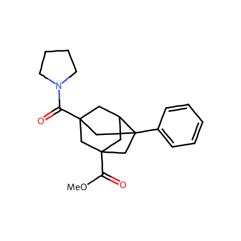 COC(=O)C12CC3CC(C(=O)N4CCCC4)(C1)CC3(c1ccccc1)C2